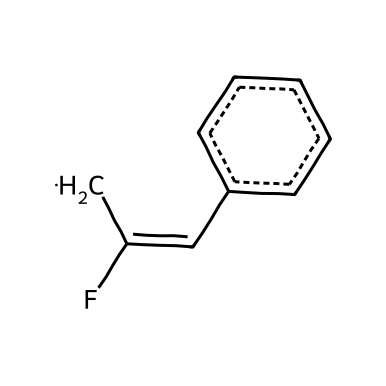 [CH2]/C(F)=C\c1ccccc1